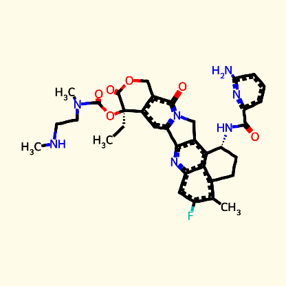 CC[C@]1(OC(=O)N(C)CCNC)C(=O)OCc2c1cc1n(c2=O)Cc2c-1nc1cc(F)c(C)c3c1c2[C@H](NC(=O)c1cccc(N)n1)CC3